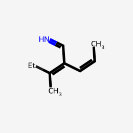 C/C=C\C(C=N)=C(C)CC